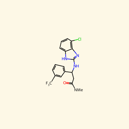 CNC(=O)CC(Nc1nc2c(Cl)cccc2[nH]1)c1cccc(C(F)(F)F)c1